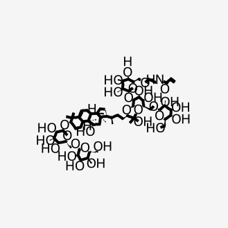 C=CC(=O)NCCOC[C@H]1O[C@@H](O[C@H]2[C@H](O[C@H](CC[C@@H](C)[C@H]3CC[C@@]4(C)[C@@H]5CC=C6[C@@H](CC[C@H](O[C@@H]7O[C@H](CO[C@@H]8O[C@H](CO)[C@@H](O)[C@H](O)[C@H]8O)[C@@H](O)[C@H](O)[C@H]7O)C6(C)C)[C@]5(C)[C@H](O)C[C@]34C)C(C)(C)O)O[C@H](CO[C@@H]3O[C@H](CO)[C@@H](O)[C@H](O)[C@H]3O)[C@@H](O)[C@@H]2O)[C@H](O)[C@@H](O)[C@@H]1O